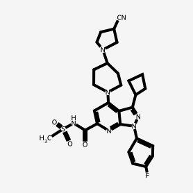 CS(=O)(=O)NC(=O)c1cc(N2CCC(N3CCC(C#N)C3)CC2)c2c(C3CCC3)nn(-c3ccc(F)cc3)c2n1